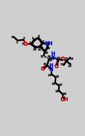 CCCOc1ccc2[nH]cc(C[C@H](NC(=O)OC(C)(C)C)C(=O)NCCCCCCO)c2c1